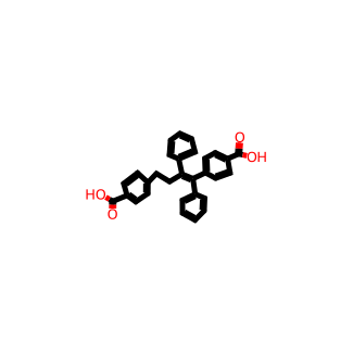 O=C(O)c1ccc(CC/C(=C(\c2ccccc2)c2ccc(C(=O)O)cc2)c2ccccc2)cc1